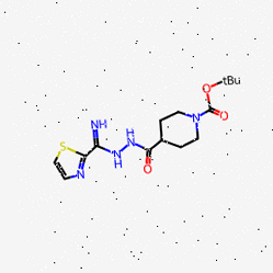 CC(C)(C)OC(=O)N1CCC(C(=O)NNC(=N)c2nccs2)CC1